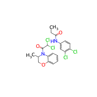 CC1COc2ccccc2N1C(=O)C(Cl)Cl.CCC(=O)Nc1ccc(Cl)c(Cl)c1